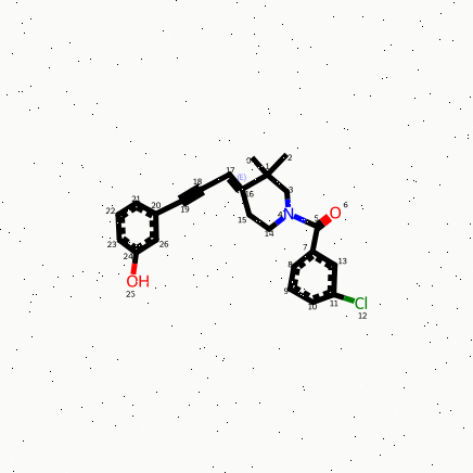 CC1(C)CN(C(=O)c2cccc(Cl)c2)CC/C1=C\C#Cc1cccc(O)c1